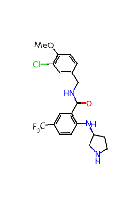 COc1ccc(CNC(=O)c2cc(C(F)(F)F)ccc2N[C@H]2CCNC2)cc1Cl